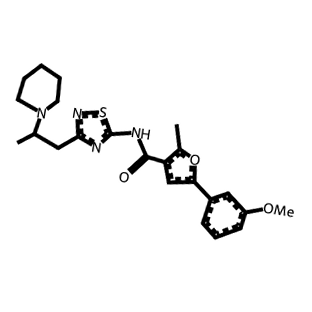 COc1cccc(-c2cc(C(=O)Nc3nc(CC(C)N4CCCCC4)ns3)c(C)o2)c1